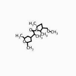 COCC1C[C@@H](C)N(C(=O)C(C)C2CC(C)OC(C)C2)C1C